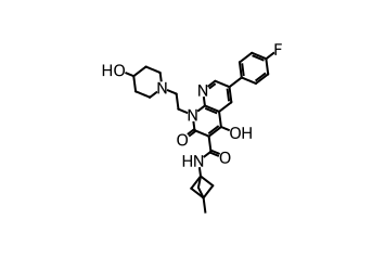 CC12CC(NC(=O)c3c(O)c4cc(-c5ccc(F)cc5)cnc4n(CCN4CCC(O)CC4)c3=O)(C1)C2